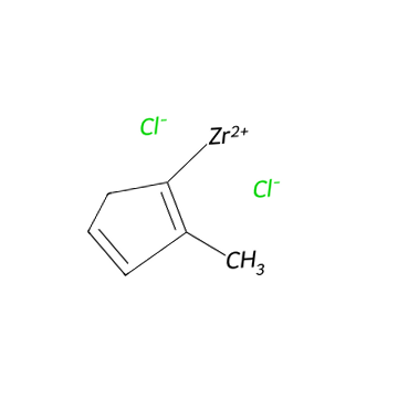 CC1=[C]([Zr+2])CC=C1.[Cl-].[Cl-]